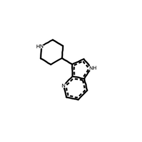 c1cnc2c(C3CCNCC3)c[nH]c2c1